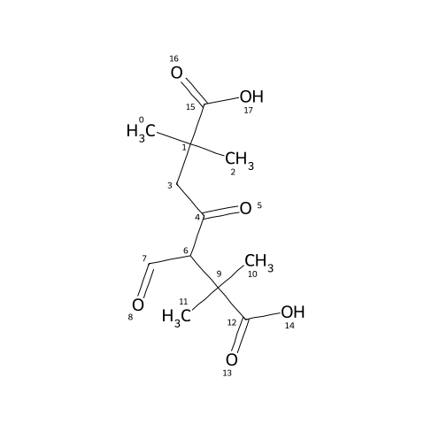 CC(C)(CC(=O)C(C=O)C(C)(C)C(=O)O)C(=O)O